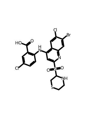 O=C(O)c1cc(Cl)ccc1Nc1cc(S(=O)(=O)C2CSCCN2)nc2cc(Br)c(Cl)cc12